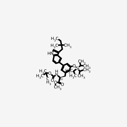 CCC(C)(C)Cc1c[nH]c2ccc(-c3cc(C[C@H](NC(=O)OC(C)(C)C)C(=O)OC)cc(O[Si](C(C)C)(C(C)C)C(C)C)c3)cc12